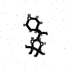 CC(B1OC(C)(C)C(C)(C)O1)=C1CCOCC1